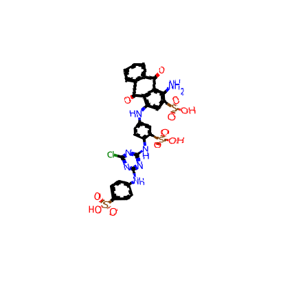 Nc1c(S(=O)(=O)O)cc(Nc2ccc(Nc3nc(Cl)nc(Nc4ccc(S(=O)(=O)O)cc4)n3)c(S(=O)(=O)O)c2)c2c1C(=O)c1ccccc1C2=O